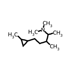 CC1CC1CCC(C)C(C)N(C)C